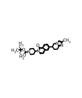 Cc1cn2c(n1)CCC(c1ccc3c(=O)n(C4CCN(C(=O)OC(C)(C)C)CC4)ccc3c1)C2